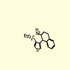 CCOC(=O)c1cscc1C1c2ccccc2CCC1N